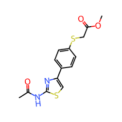 COC(=O)CSc1ccc(-c2csc(NC(C)=O)n2)cc1